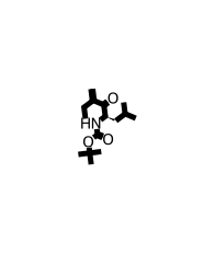 C=C(CC)C(=O)[C@H](CC(C)C)NC(=O)OC(C)(C)C